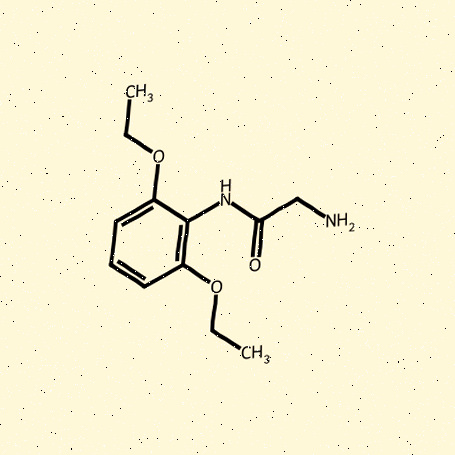 CCOc1cccc(OCC)c1NC(=O)CN